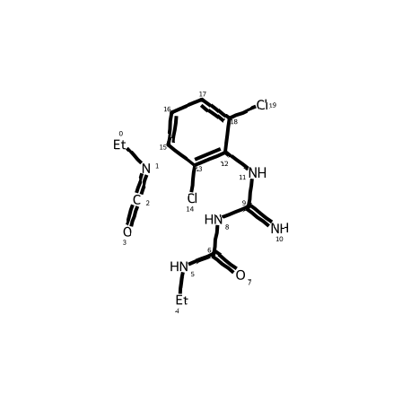 CCN=C=O.CCNC(=O)NC(=N)Nc1c(Cl)cccc1Cl